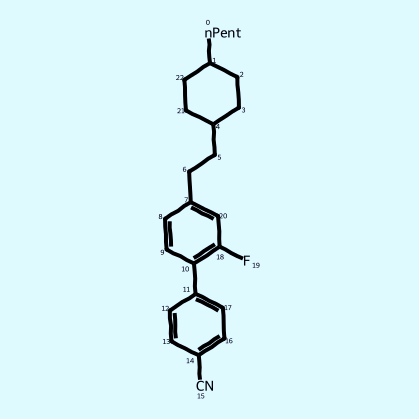 CCCCCC1CCC(CCc2ccc(-c3ccc(C#N)cc3)c(F)c2)CC1